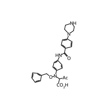 CC(=O)C(C(=O)O)N(OCc1ccccc1)c1ccc(NC(=O)c2ccc(N3CCNCC3)cc2)cc1